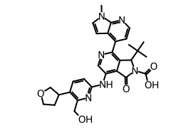 Cn1ccc2c(-c3ncc(Nc4ccc(C5CCOC5)c(CO)n4)c4c3C(C(C)(C)C)N(C(=O)O)C4=O)ccnc21